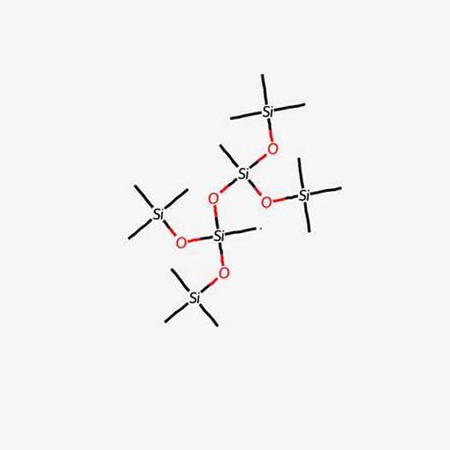 [CH2][Si](O[Si](C)(C)C)(O[Si](C)(C)C)O[Si](C)(O[Si](C)(C)C)O[Si](C)(C)C